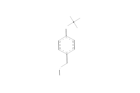 C[N]Cc1ccc(OC(F)(F)F)cc1